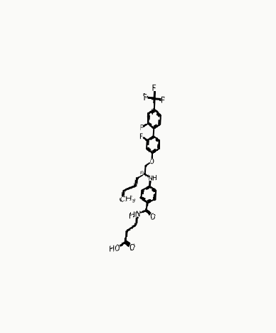 CCCC[C@@H](COc1ccc(-c2ccc(C(F)(F)F)cc2F)c(F)c1)Nc1ccc(C(=O)NCCC(=O)O)cc1